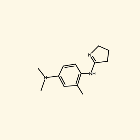 Cc1cc(N(C)C)ccc1NC1=NCCC1